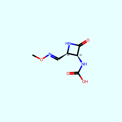 CON=C[C@H]1NC(=O)[C@H]1NC(=O)O